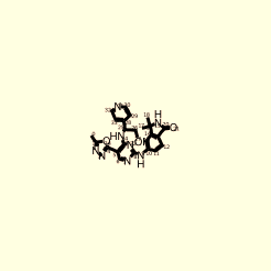 Cc1nnc(-c2cnc(Nc3ccc4c(c3)C(C)(C)NC4=O)nc2NC(CO)c2ccncc2)o1